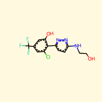 OCCNc1ccc(-c2c(O)cc(C(F)(F)F)cc2Cl)nn1